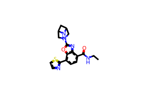 CCNC(=O)c1ccc(-c2nccs2)c2oc(N3CC4CC(C3)N4)nc12